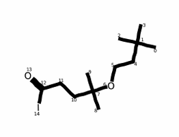 CC(C)(C)CCOC(C)(C)CCC(=O)I